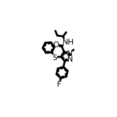 CCC(C)NC(=O)c1c(Sc2ccccc2)c(-c2ccc(F)cc2)nn1C